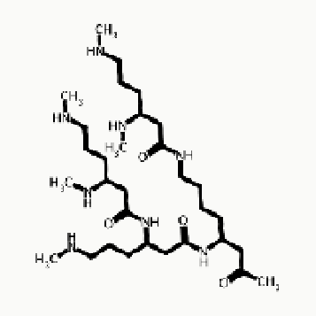 CNCCCC(CC(=O)NCCCCC(CC(C)=O)NC(=O)CC(CCCNC)NC(=O)CC(CCCNC)NC)NC